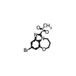 CS(=O)(=O)c1nc2cc(Br)cc3c2n1CCCO3